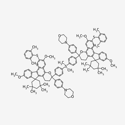 COc1ccc2c(c1)C1(CC(C)(C)CC(C)(C)C1)c1c3c(c4cc(OC)c(Sc5c(C)cccc5C)cc4c1-2)OC(c1ccc(N2CCOCC2)cc1)(c1ccc(S(C)(C)c2ccc(C4(c5ccc(N6CCOCC6)cc5)CCc5c6c(c7cc(Sc8c(C)cccc8C)c(OC)cc7c5O4)-c4ccc(OC)cc4C64CC(C)(C)CC(C)(C)C4)cc2)cc1)CC3